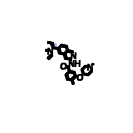 C=CN(C)/C(=C\C)c1ccc2cnc(NC(=O)c3ccc(C)c(OC4CCN(C)CC4)c3)cc2c1